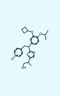 CC(CO)c1cnc(C(Cc2cc[n+]([O-])cc2)c2ccc(OC(F)F)c(OC3CCC3)c2)s1